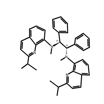 CC(C)c1ccc2cccc(N(C)[C@@H](c3ccccc3)[C@H](c3ccccc3)N(C)c3cccc4ccc(C(C)C)nc34)c2n1